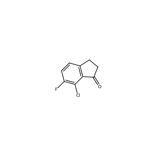 O=C1CCc2ccc(F)c(Cl)c21